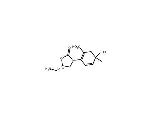 CC1(C(=O)O)C=CC(N2C[C@H](CN)OC2=O)=C(C(=O)O)C1